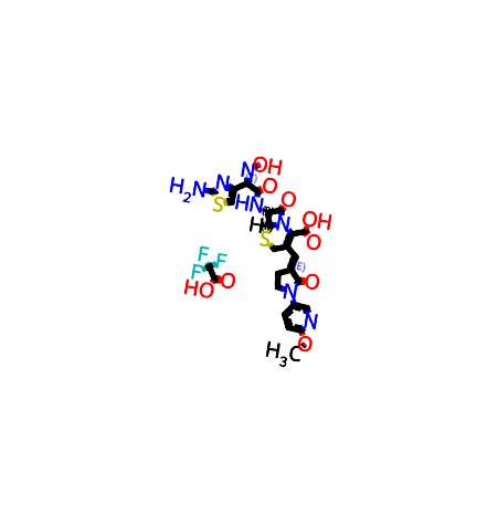 COc1ccc(N2CC/C(=C\C3=C(C(=O)O)N4C(=O)[C@@H](NC(=O)/C(=N\O)c5csc(N)n5)[C@H]4SC3)C2=O)cn1.O=C(O)C(F)(F)F